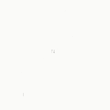 Ic1ccc2c(c1)c1cccc3c4ccccc4n2c31